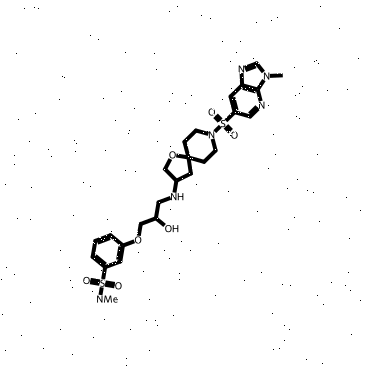 CNS(=O)(=O)c1cccc(OCC(O)CNC2COC3(CCN(S(=O)(=O)c4cnc5c(c4)ncn5C)CC3)C2)c1